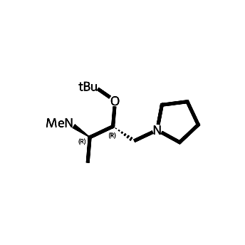 CN[C@H](C)[C@@H](CN1CCCC1)OC(C)(C)C